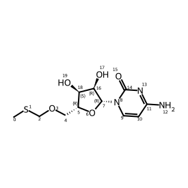 CSCOC[C@H]1O[C@@H](n2ccc(N)nc2=O)[C@H](O)[C@@H]1O